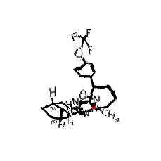 Cc1noc(N2C[C@H]3CC[C@@H](C2)[C@@H]3Nc2nc3n(n2)CCCC3c2ccc(OC(F)(F)F)cc2)n1